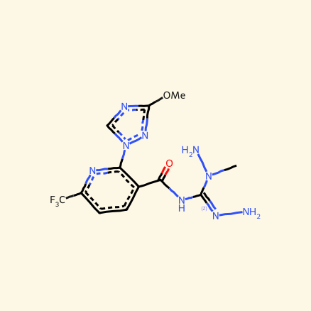 COc1ncn(-c2nc(C(F)(F)F)ccc2C(=O)N/C(=N/N)N(C)N)n1